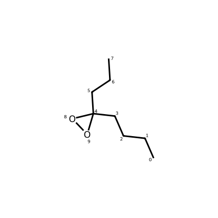 CCCCC1(CCC)OO1